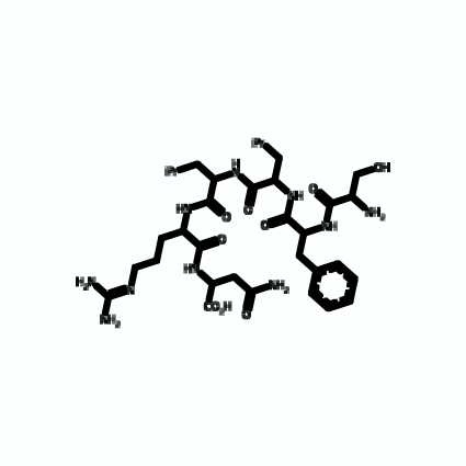 CC(C)CC(NC(=O)C(Cc1ccccc1)NC(=O)C(N)CO)C(=O)NC(CC(C)C)C(=O)NC(CCCN=C(N)N)C(=O)NC(CC(N)=O)C(=O)O